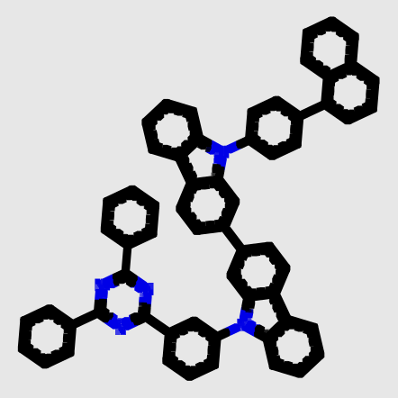 c1ccc(-c2nc(-c3ccccc3)nc(-c3cccc(-n4c5ccccc5c5ccc(-c6ccc7c8ccccc8n(-c8ccc(-c9cccc%10ccccc9%10)cc8)c7c6)cc54)c3)n2)cc1